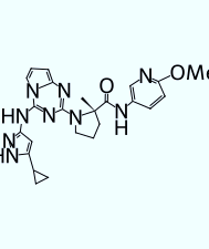 COc1ccc(NC(=O)[C@]2(C)CCCN2c2nc(Nc3cc(C4CC4)[nH]n3)n3cccc3n2)cn1